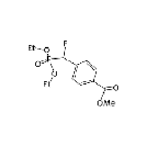 CCOP(=O)(OCC)C(F)c1ccc(C(=O)OC)cc1